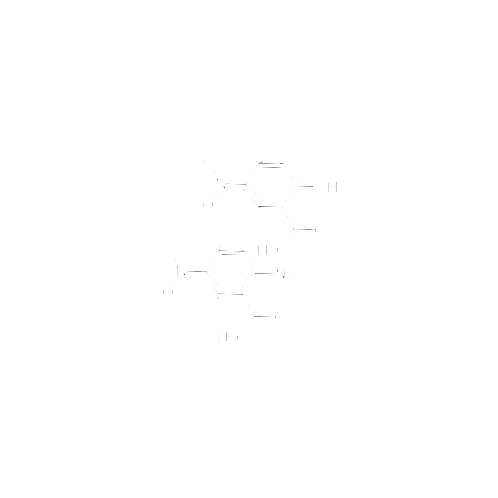 CC(C)c1cc([N+](=O)[O-])ccc1N.CC(C)c1cc([N+](=O)[O-])ccc1O